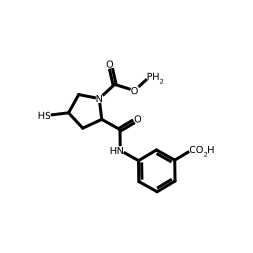 O=C(O)c1cccc(NC(=O)C2CC(S)CN2C(=O)OP)c1